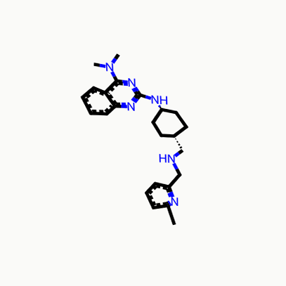 Cc1cccc(CNC[C@H]2CC[C@@H](Nc3nc(N(C)C)c4ccccc4n3)CC2)n1